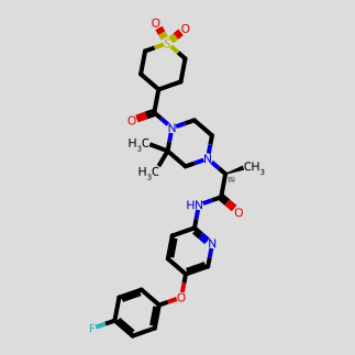 C[C@@H](C(=O)Nc1ccc(Oc2ccc(F)cc2)cn1)N1CCN(C(=O)C2CCS(=O)(=O)CC2)C(C)(C)C1